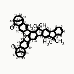 CC1(C)c2ccccc2-c2cc3c(cc21)-c1cc2c4cc5c(cc4n4c6cc7c(cc6c(c1C3(C)C)c24)C1CCC(CC1)C7=O)C(=O)C1CCC5CC1